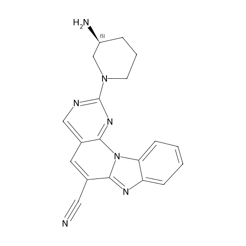 N#Cc1cc2cnc(N3CCC[C@H](N)C3)nc2n2c1nc1ccccc12